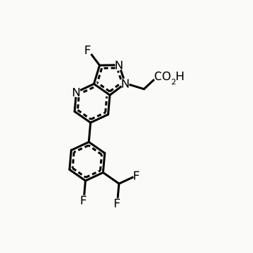 O=C(O)Cn1nc(F)c2ncc(-c3ccc(F)c(C(F)F)c3)cc21